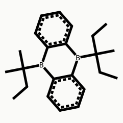 CCC(C)(C)B1c2ccccc2B(C(C)(CC)CC)c2ccccc21